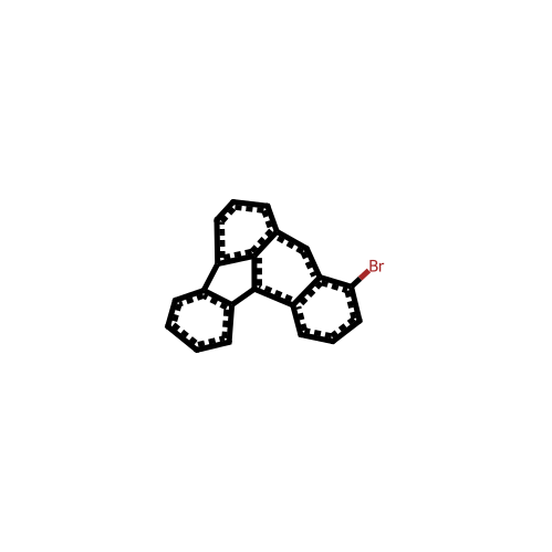 Brc1cccc2c3c4c(cccc4cc12)-c1ccccc1-3